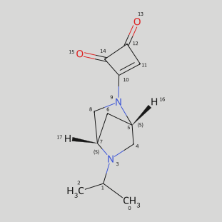 CC(C)N1C[C@@H]2C[C@H]1CN2c1cc(=O)c1=O